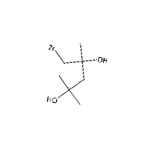 CC(C)(O)CC(C)(O)[CH2][Zr]